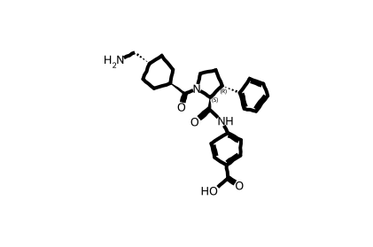 NC[C@H]1CC[C@H](C(=O)N2CC[C@H](c3ccccc3)[C@H]2C(=O)Nc2ccc(C(=O)O)cc2)CC1